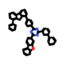 c1ccc(-c2cccc(-c3nc(-c4ccc(-c5cccc6c5Cc5c(-c7ccccc7)cccc5-6)cc4)nc(-c4ccc5c(c4)oc4ccccc45)n3)c2)cc1